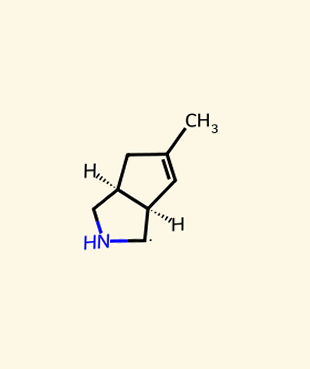 CC1=C[C@H]2[CH]NC[C@H]2C1